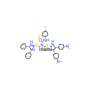 CCCCC(Sc1nc(-c2ccccc2)c(-c2ccccc2)[nH]1)N(C(=O)Nc1ccc(F)cc1F)C(CCCC)Sc1nc(-c2ccc(N(C)C)cc2)c(-c2ccc(N(C)C)cc2)[nH]1